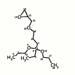 CCCO[Si](CC)(CCCOCC1CO1)OCCC